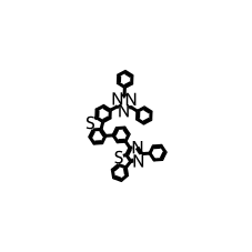 C1=CCC(c2nc(-c3cccc(-c4cccc5sc6ccc(-c7nc(-c8ccccc8)nc(-c8ccccc8)n7)cc6c45)c3)c3sc4ccccc4c3n2)C=C1